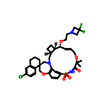 CC1(C)OC/C=C/[C@@H](OCCN2CC(F)(F)C2)[C@@H]2CC[C@H]2CN2C[C@@]3(CCCc4cc(Cl)ccc43)COc3ccc(cc32)S(=O)(=O)NC1=O